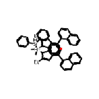 CCC1=Cc2c(-c3cccc4ccccc34)cccc2[CH]1[Hf]([CH3])([CH3])([CH]1C(CC)=Cc2c(-c3cccc4ccccc34)cccc21)[SiH](c1ccccc1)c1ccccc1